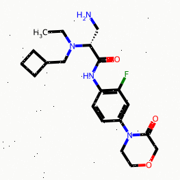 CCN(CC1CCC1)[C@H](CN)C(=O)Nc1ccc(N2CCOCC2=O)cc1F